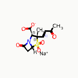 CC(=O)/C=C/[C@@]1(C)[C@H](C(=O)[O-])N2C(=O)C[C@H]2S1(=O)=O.[Na+]